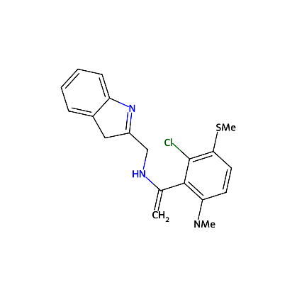 C=C(NCC1=Nc2ccccc2C1)c1c(NC)ccc(SC)c1Cl